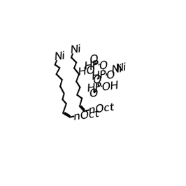 CCCCCCCC/C=C\CCCCCCC[CH2][Ni].CCCCCCCC/C=C\CCCCCCC[CH2][Ni].O=[PH](O)O[PH](=O)O[PH](=O)O.[Ni].[Ni]